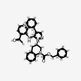 O=C(I)c1ccncc1Nc1c(-c2ccccc2)cnn1[C@@H]1Cc2ccccc2N(C(=O)OCc2ccccc2)C1